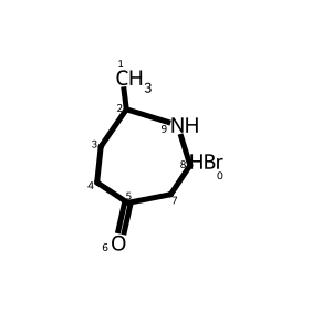 Br.CC1CCC(=O)CCN1